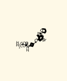 CC(C)(C)OC(=O)N[C@H]1C[C@H](COc2cc(Br)cc3c2cnn3C2CCCCO2)C1